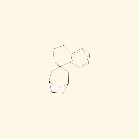 c1ccc2c(c1)CCOC21CC2CCC(C1)N2